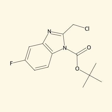 CC(C)(C)OC(=O)n1c(CCl)nc2cc(F)ccc21